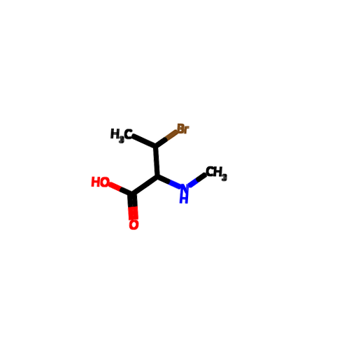 CNC(C(=O)O)C(C)Br